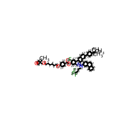 CCC1(COCCCCCCOc2ccc(C(=O)Oc3cc(/C=N/N(CCCC(F)(F)F)c4ccc5ccc6ccccc6c5c4)c(-c4ccc5cc(-c6ccc(C(C)(C)C)cc6)ccc5c4)cc3F)cc2)COC1